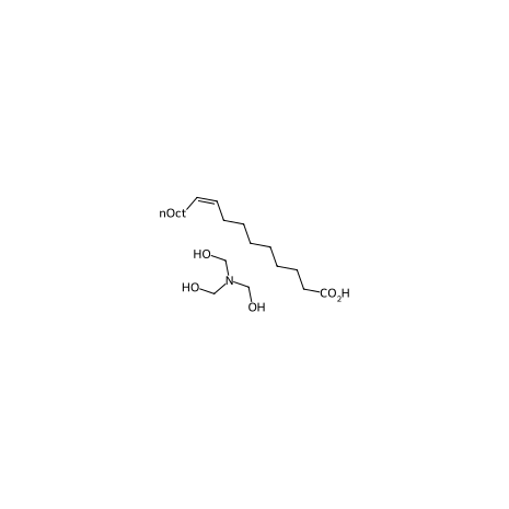 CCCCCCCC/C=C\CCCCCCCC(=O)O.OCN(CO)CO